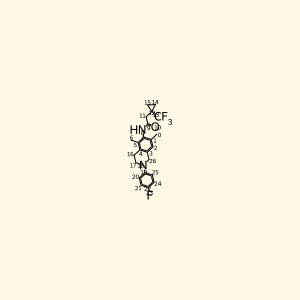 Cc1cc2c(c(C)c1NC(=O)CC1(C(F)(F)F)CC1)CCN(c1ccc(F)cc1)C2